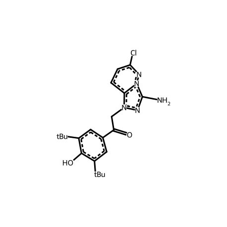 CC(C)(C)c1cc(C(=O)C[n+]2nc(N)n3nc(Cl)ccc32)cc(C(C)(C)C)c1O